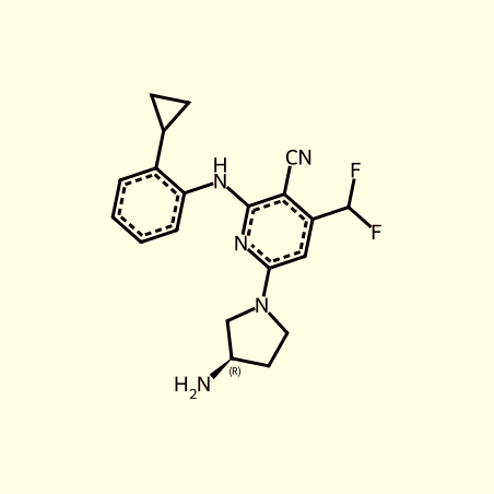 N#Cc1c(C(F)F)cc(N2CC[C@@H](N)C2)nc1Nc1ccccc1C1CC1